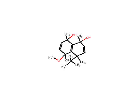 COC1(C)C=CC(C)(O)C2=C1C(C)(C(C)(C)C)C=CC2(C)O